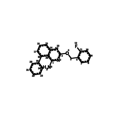 Nc1nc(OCc2ccccc2F)nc2cccc(-c3ccccc3)c12